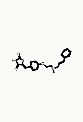 CN(C/C=C/c1ccccc1)CCOc1ccc(/C=C2\SC(=O)NC2=O)cc1